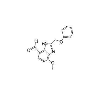 COc1ccc(C(=O)Cl)c2[nH]c(COc3ccccc3)nc12